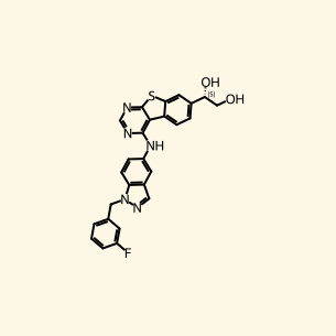 OC[C@@H](O)c1ccc2c(c1)sc1ncnc(Nc3ccc4c(cnn4Cc4cccc(F)c4)c3)c12